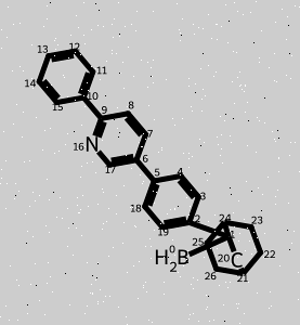 BC1(c2ccc(-c3ccc(-c4ccccc4)nc3)cc2)CC2CCC1CC2